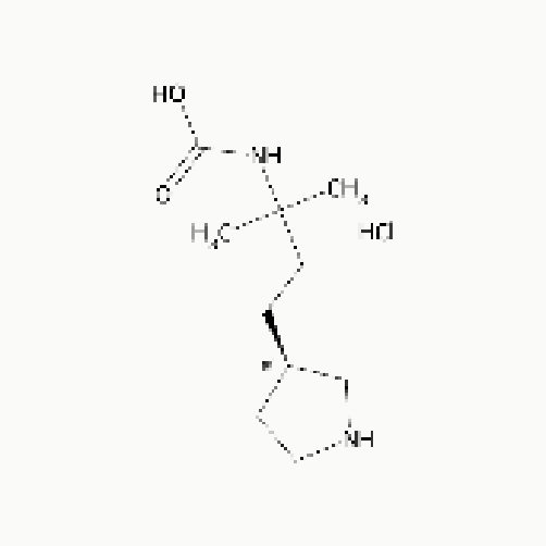 CC(C)(CC[C@@H]1CCNC1)NC(=O)O.Cl